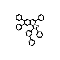 c1ccc(-c2cccc(-c3c(-c4ccccc4)nn4c(-c5ccccc5)cc5cc(-c6ccccc6)c(-c6ccccc6)cc5c34)c2)cc1